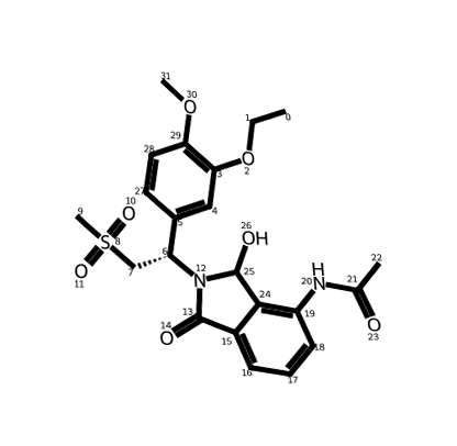 CCOc1cc([C@@H](CS(C)(=O)=O)N2C(=O)c3cccc(NC(C)=O)c3C2O)ccc1OC